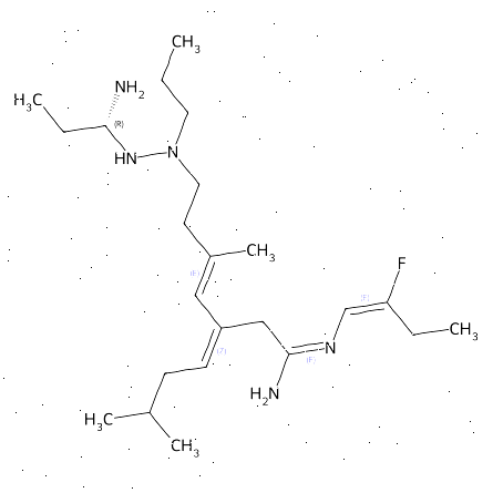 CCCN(CC/C(C)=C/C(=C\CC(C)C)C/C(N)=N\C=C(\F)CC)N[C@@H](N)CC